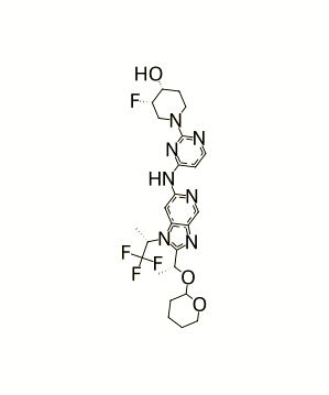 C[C@H](n1c([C@@H](C)OC2CCCCO2)nc2cnc(Nc3ccnc(N4CC[C@@H](O)[C@@H](F)C4)n3)cc21)C(F)(F)F